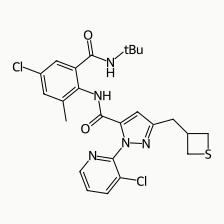 Cc1cc(Cl)cc(C(=O)NC(C)(C)C)c1NC(=O)c1cc(CC2CSC2)nn1-c1ncccc1Cl